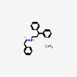 C[C@@H](Cc1ccccc1)NCCC(c1ccccc1)c1ccccc1.[CaH2]